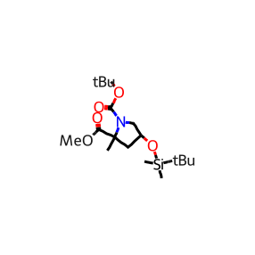 COC(=O)C1(C)CC(O[Si](C)(C)C(C)(C)C)CN1C(=O)OC(C)(C)C